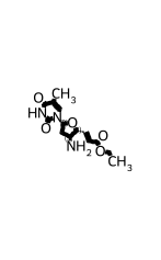 CCOC(=O)C=C[C@H]1O[C@@H](n2cc(C)c(=O)[nH]c2=O)C[C@@H]1N